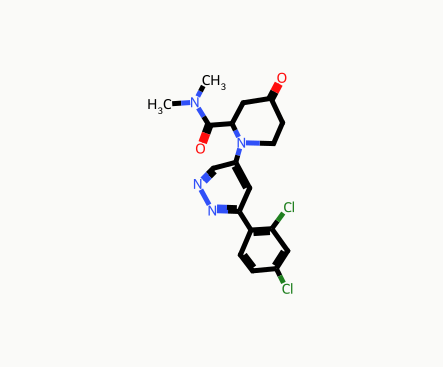 CN(C)C(=O)C1CC(=O)CCN1c1cnnc(-c2ccc(Cl)cc2Cl)c1